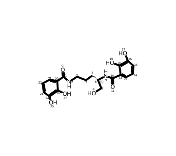 O=C(NCCC[C@@H](CO)NC(=O)c1cccc(O)c1O)c1cccc(O)c1O